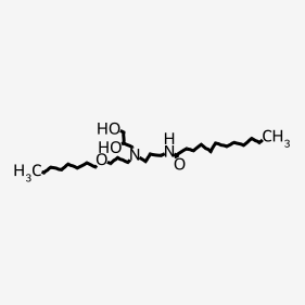 CCCCCCCCCCCC(=O)NCCCN(CCCOCCCCCCCC)CC(O)CO